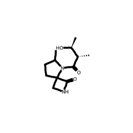 CC1CCC2(CNC2=O)N1C(=O)[C@@H](C)[C@H](C)O